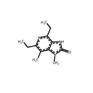 CCc1nc(CC)c2[nH]c(=O)n(C)c2c1C